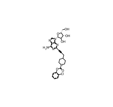 Nc1nc(C#CCC2CCN(C(=O)Oc3ccccc3Cl)CC2)nc2c1ncn2[C@@H]1O[C@H](CO)[C@H](O)C1O